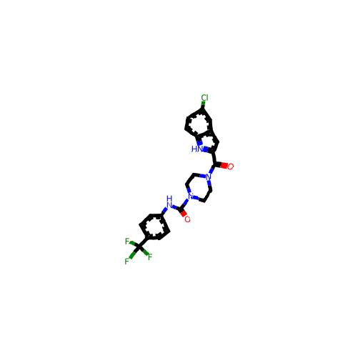 O=C(Nc1ccc(C(F)(F)F)cc1)N1CCN(C(=O)c2cc3cc(Cl)ccc3[nH]2)CC1